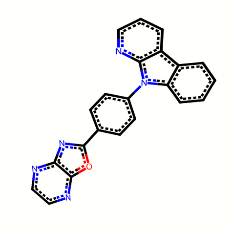 c1ccc2c(c1)c1cccnc1n2-c1ccc(-c2nc3nccnc3o2)cc1